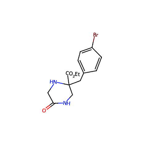 CCOC(=O)C1(Cc2ccc(Br)cc2)CNC(=O)CN1